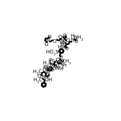 CC[C@H](C)[C@@H]([C@@H](CC(=O)N1CCCC1C(OC)C(C)C(=O)NC(C)C(O)c1ccccc1)OC)N(C)C(=O)C(NC(=O)[C@H](C(C)C)N(C)C(=O)OCc1ccc(NC(=O)C(CCCNC(N)=O)NC(=O)C2(NC(=O)CCOCCN3C(=O)C=CC3=O)COC2)cc1S(=O)(=O)O)C(C)C